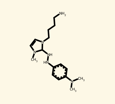 CN(C)c1ccc(NNC2N(C)C=CN2CCCCN)cc1